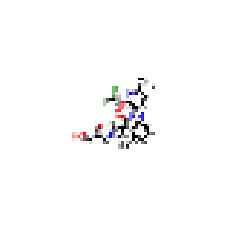 Cc1ccc(NC(=O)C2(c3ccccc3C(C)C)CN(CC(O)CO)C2)c(OC(F)F)n1